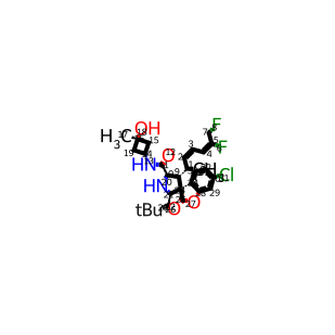 CC(/C=C\C=C(\F)CF)[C@H]1[C@H](C(=O)N[C@H]2C[C@@](C)(O)C2)N[C@H](CC(C)(C)C)[C@]12C(=O)Oc1cc(Cl)ccc12